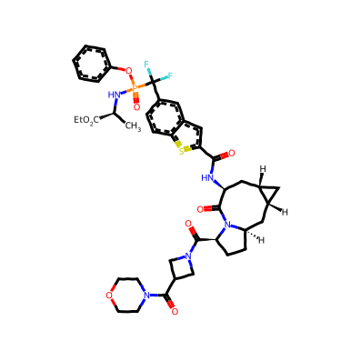 CCOC(=O)[C@H](C)NP(=O)(Oc1ccccc1)C(F)(F)c1ccc2sc(C(=O)N[C@H]3C[C@@H]4C[C@@H]4C[C@H]4CC[C@@H](C(=O)N5CC(C(=O)N6CCOCC6)C5)N4C3=O)cc2c1